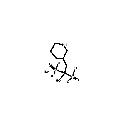 O=P([O-])(O)C(O)(CC1CCCNC1)P(=O)(O)O.[Na+]